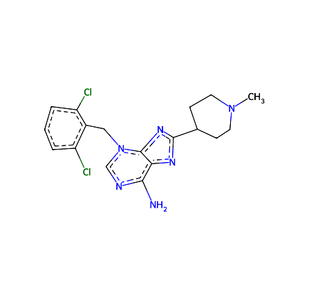 CN1CCC(c2nc3c(N)ncn(Cc4c(Cl)cccc4Cl)c-3n2)CC1